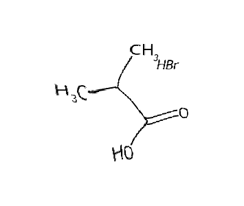 Br.CC(C)C(=O)O